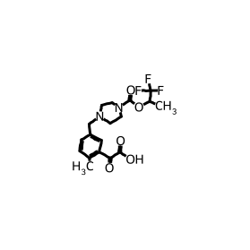 Cc1ccc(CN2CCN(C(=O)OC(C)C(F)(F)F)CC2)cc1C(=O)C(=O)O